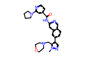 Cn1ncc(-c2ccc3cnc(NC(=O)c4ccnc(N5CCCC5)c4)cc3c2)c1CN1CCOCC1